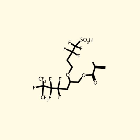 C=C(C)C(=O)OCC(CC(F)(F)C(F)(F)C(F)(C(F)(F)F)C(F)(F)F)OCCC(F)(F)C(F)(F)S(=O)(=O)O